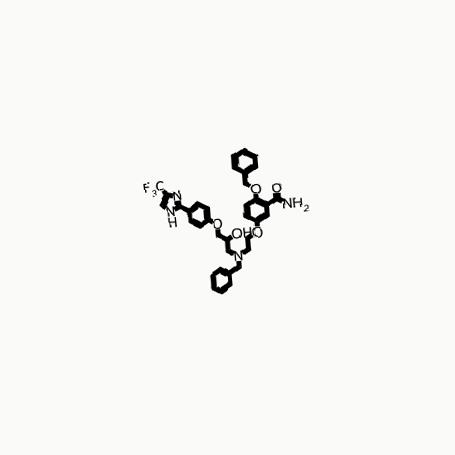 NC(=O)c1cc(OCCN(Cc2ccccc2)CC(O)COc2ccc(-c3nc(C(F)(F)F)c[nH]3)cc2)ccc1OCc1ccccc1